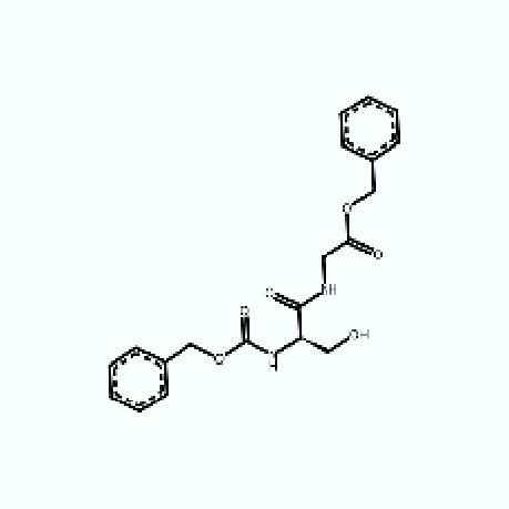 O=C(CNC(=O)[C@@H](CO)NC(=O)OCc1ccccc1)OCc1ccccc1